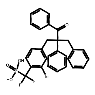 O=C(c1ccccc1)C(Cc1ccccc1)(Cc1ccc(C(F)(F)P(=O)(O)O)c(Br)c1)c1ccccc1